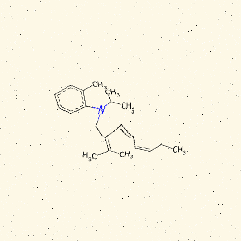 CC/C=C\C=C/C(CN(c1ccccc1C)C(C)C)=C(C)C